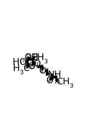 CCCC(=O)NCCOCCOC1OC(C)C(O)C(O)C1C